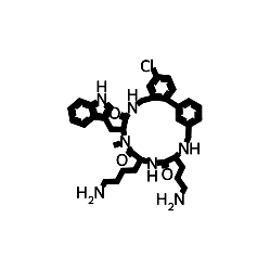 CN1C(=O)C(CCCCN)NC(=O)C(CCCN)NCc2cccc(c2)-c2ccc(Cl)cc2CNC(=O)C1Cc1c[nH]c2ccccc12